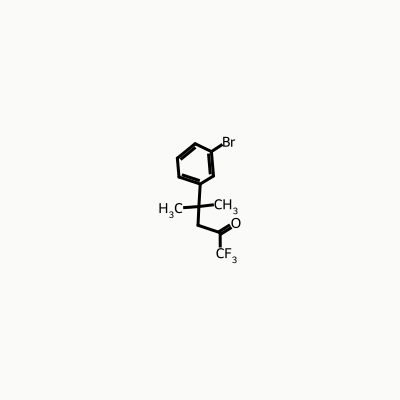 CC(C)(CC(=O)C(F)(F)F)c1cccc(Br)c1